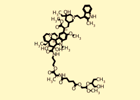 CCC(CO)OC(COC(=O)CCCC(=O)N[C@H](C)C(=O)OCCCNC(=O)[C@]1(O)C2N(C)c3cc(OC)c([C@H](CC4CN(CCc5c(C)[nH]c6ccccc56)CC(O)(CC)C4)C(=O)OC)cc3[C@@]23CCN2CC=C[C@](CC)(C23)[C@H]1O)OC